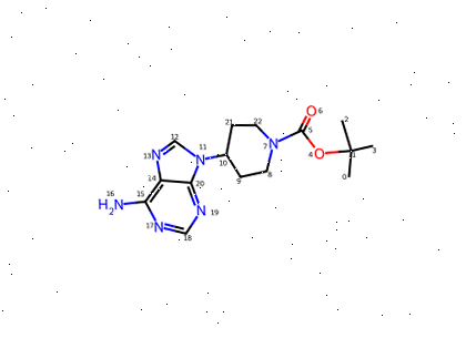 CC(C)(C)OC(=O)N1CCC(n2cnc3c(N)ncnc32)CC1